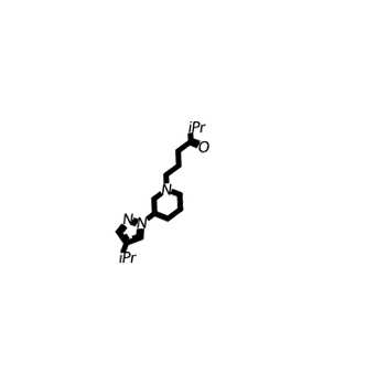 CC(C)C(=O)CCCN1CCCC(n2cc(C(C)C)cn2)C1